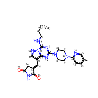 COCCNc1nc(N2CCN(c3ccccn3)CC2)nc2c(/C=C3\CC(=O)NC3=O)cnn12